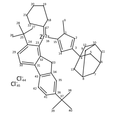 CC1C=C(C23CC4CC(CC(C4)C2)C3)C=[C]1[Zr+2](=[C]1CCCCC1)[c]1c(C(C)(C)C)ccc2c1Cc1cc(C(C)(C)C)ccc1-2.[Cl-].[Cl-]